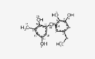 CCc1ccc(O)c(O)c1.Cc1cc(O)cc(C)c1O